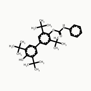 CC(C)(C)c1cc(-c2cc(C(C)(C)C)c(OC(=O)Nc3ccccc3)c(C(C)(C)C)c2)cc(C(C)(C)C)c1O